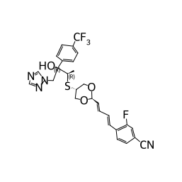 C[C@@H](S[C@H]1CO[C@H](C=CC=Cc2ccc(C#N)cc2F)OC1)[C@](O)(Cn1cncn1)c1ccc(C(F)(F)F)cc1